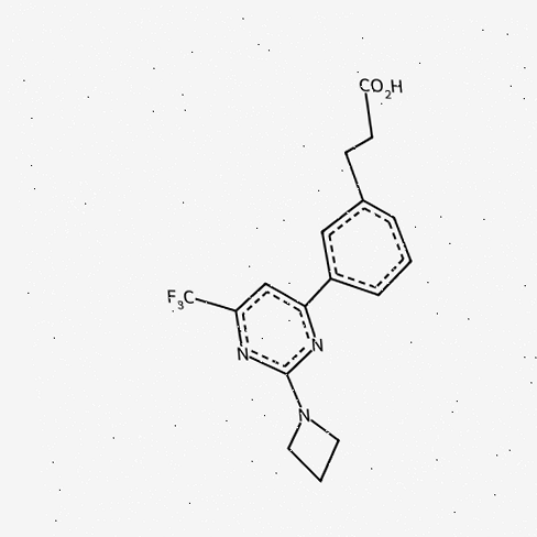 O=C(O)CCc1cccc(-c2cc(C(F)(F)F)nc(N3CCC3)n2)c1